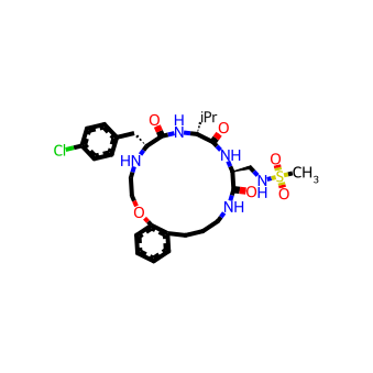 CC(C)[C@H]1NC(=O)[C@@H](Cc2ccc(Cl)cc2)NCCOc2ccccc2CCCNC(=O)[C@H](CNS(C)(=O)=O)NC1=O